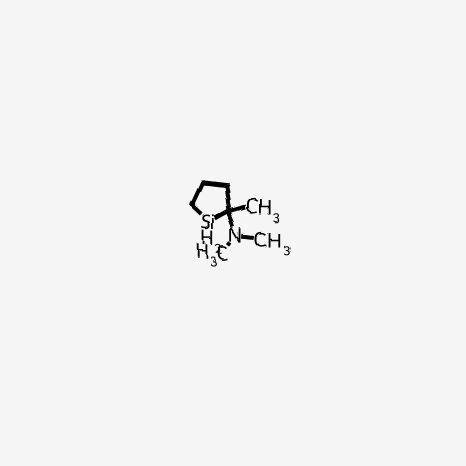 CN(C)C1(C)CCC[SiH2]1